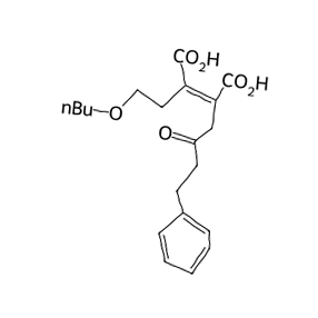 CCCCOCCC(C(=O)O)=C(CC(=O)CCc1ccccc1)C(=O)O